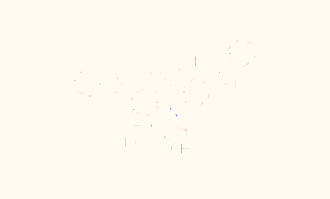 CCC(C)(C)C(=O)N1c2ccc(C(C)(C)c3ccccc3)cc2S(=O)(=O)c2cc(C(C)(C)c3ccccc3)ccc21